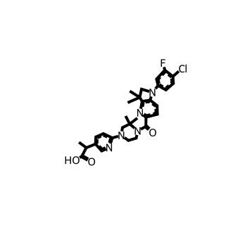 CC(C(=O)O)c1ccc(N2CCN(C(=O)c3ccc4c(n3)C(C)(C)CN4c3ccc(Cl)c(F)c3)C(C)(C)C2)nc1